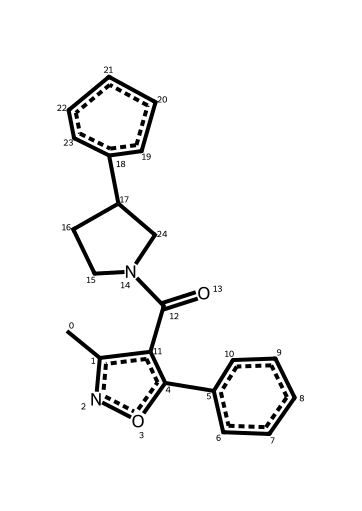 Cc1noc(-c2ccccc2)c1C(=O)N1CCC(c2ccccc2)C1